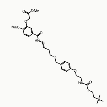 COC(=O)COc1cc(C(=O)N/N=C/CCOCc2ccc(OCCNC(=O)OCC[Si](C)(C)C)cc2)ccc1OC